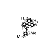 COc1ccc(CNc2nc(-c3ccc(F)cc3)c(-c3cc(C)nc(C)c3)c3nccnc23)c(OC)c1